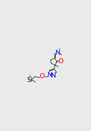 CN(C)C=C1CCC(C)(c2cnn(COCC[Si](C)(C)C)c2)C1=O